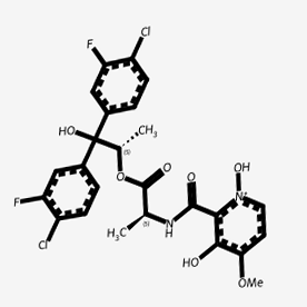 COc1cc[n+](O)c(C(=O)N[C@@H](C)C(=O)O[C@@H](C)C(O)(c2ccc(Cl)c(F)c2)c2ccc(Cl)c(F)c2)c1O